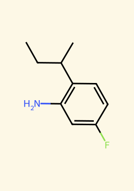 CCC(C)c1ccc(F)cc1N